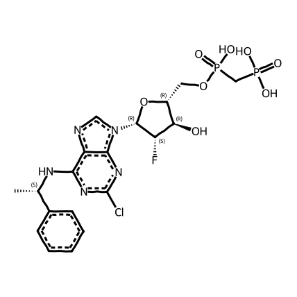 C[C@H](Nc1nc(Cl)nc2c1ncn2[C@@H]1O[C@H](COP(=O)(O)CP(=O)(O)O)[C@@H](O)[C@@H]1F)c1ccccc1